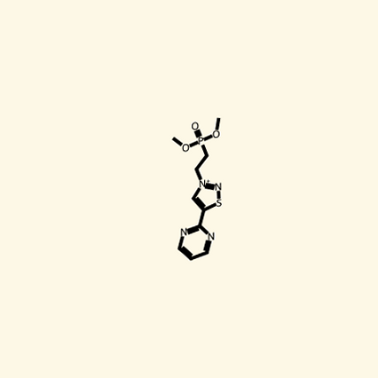 COP(=O)(CC[n+]1cc(-c2ncccn2)sn1)OC